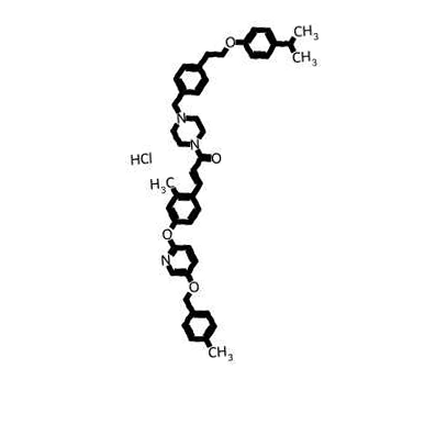 Cc1ccc(COc2ccc(Oc3ccc(/C=C/C(=O)N4CCN(Cc5ccc(CCOc6ccc(C(C)C)cc6)cc5)CC4)c(C)c3)nc2)cc1.Cl